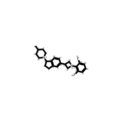 CC1CCN(C2CCc3cc(C4CN(c5c(F)cccc5F)C4)ccc32)CC1